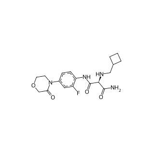 NC(=O)[C@H](NCC1CCC1)C(=O)Nc1ccc(N2CCOCC2=O)cc1F